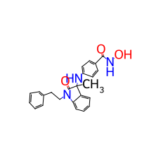 CC1(Nc2ccc(C(=O)NO)cc2)C(=O)N(CCc2ccccc2)c2ccccc21